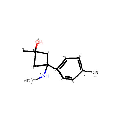 CC1(O)CC(NC(=O)O)(c2ccc(C#N)cc2)C1